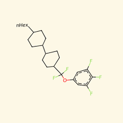 CCCCCCC1CCC(C2CCC(C(F)(F)Oc3cc(F)c(F)c(F)c3)CC2)CC1